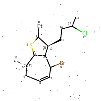 CCC1SC2C(C(Br)C=CC[C@@H]2C)[C@@H]1CCC(C)Cl